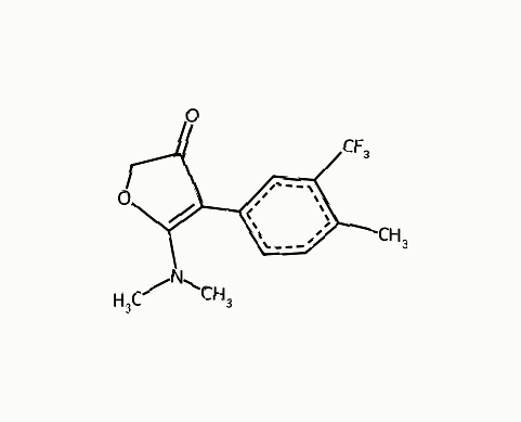 Cc1ccc(C2=C(N(C)C)OCC2=O)cc1C(F)(F)F